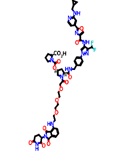 O=C1CCC(N2C(=O)c3cccc(NCCOCCOCCOCC(=O)N4C[C@H](OC(=O)N5CCC[C@H]5C(=O)O)C[C@H]4C(=O)NCc4ccc(-n5cc(NC(=O)c6coc(-c7ccnc(NCC8CC8)c7)n6)c(C(F)F)n5)cc4)c3C2=O)C(=O)N1